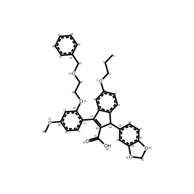 CCCOc1ccc2c(c1)C(c1ccc(OC)cc1OCCOCc1ccccc1)=C(C(=O)O)C2c1ccc2c(c1)OCO2